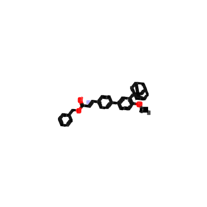 COc1ccc(-c2ccc(/C=C/C(=O)OCc3ccccc3)cc2)cc1C12CC3CC(CC(C3)C1)C2